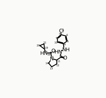 O=C(NNc1ccc(Cl)cc1)C1CCCN1C(=O)NC1CC1